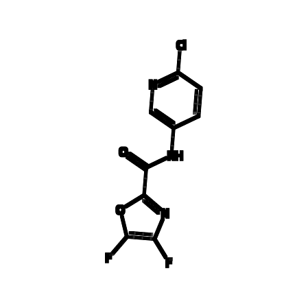 O=C(Nc1ccc(Cl)nc1)c1nc(F)c(F)o1